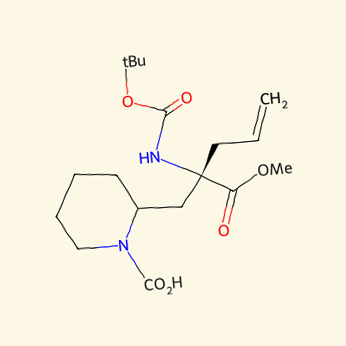 C=CC[C@@](CC1CCCCN1C(=O)O)(NC(=O)OC(C)(C)C)C(=O)OC